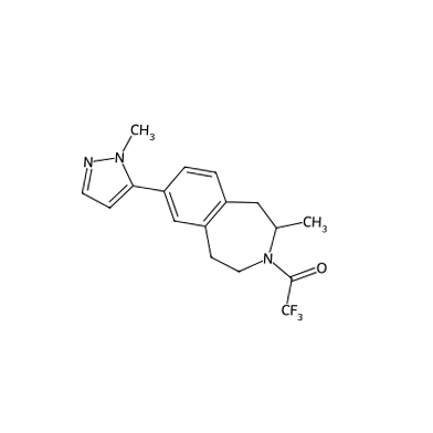 CC1Cc2ccc(-c3ccnn3C)cc2CCN1C(=O)C(F)(F)F